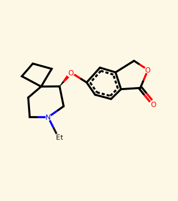 CCN1CCC2(CCC2)[C@@H](Oc2ccc3c(c2)COC3=O)C1